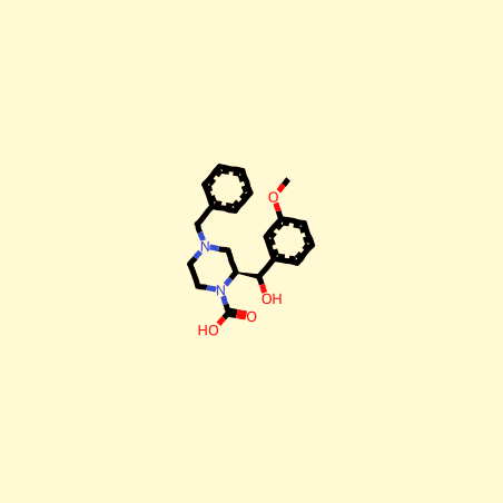 COc1cccc(C(O)[C@@H]2CN(Cc3ccccc3)CCN2C(=O)O)c1